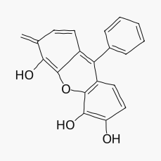 C=c1ccc2c(c1O)Oc1c(ccc(O)c1O)C=2c1ccccc1